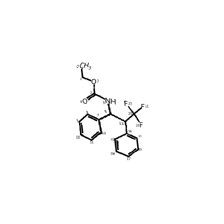 CCOC(=O)NC(c1ccccc1)C(c1ccccc1)C(F)(F)F